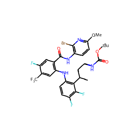 COc1ccc(NC(=O)c2cc(F)c(C(F)(F)F)cc2Nc2ccc(F)c(F)c2C(C)CCNC(=O)OC(C)(C)C)c(Br)n1